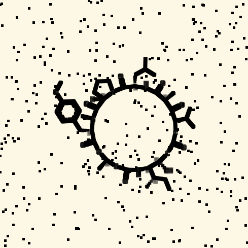 CC[C@H](C)[C@H]1NC(=O)C[C@@H](C)OC(=O)[C@H](Cc2ccc(OC)cc2)N(C)C(=O)[C@@H]2CCCN2C(=O)[C@H](CC(C)C)NC(=O)[C@@H](C)C(=O)C(C(C)C)CC(=O)C[C@@H]1O